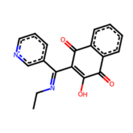 CCN=C(C1=C(O)C(=O)c2ccccc2C1=O)c1cccnc1